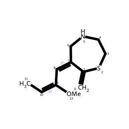 C=C1SCCNC/C1=C/C(=C\C)OC